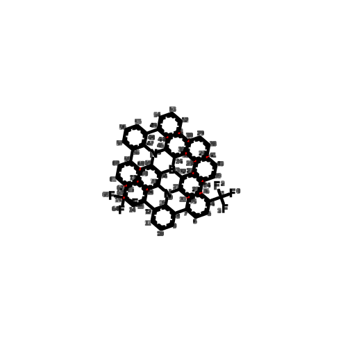 FC(F)(F)c1ccc(-c2cccc(-c3ccccc3)c2N2c3cccc(-c4ccccc4)c3B3c4c(-c5ccccc5)cccc4N(c4c(-c5ccccc5)cccc4-c4ccc(C(F)(F)F)cc4)c4cccc2c43)cc1